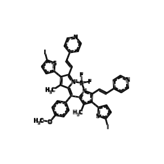 COc1ccc(C2=C3C(C)=C(c4ccc(I)s4)C(/C=C/c4ccncc4)=[N+]3[B-](F)(F)n3c(/C=C/c4ccncc4)c(-c4ccc(I)s4)c(C)c32)cc1